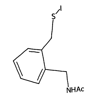 CC(=O)NCc1ccccc1CSI